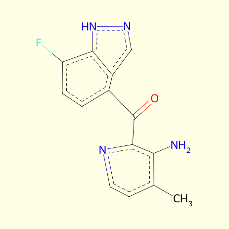 Cc1ccnc(C(=O)c2ccc(F)c3[nH]ncc23)c1N